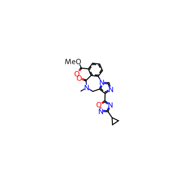 COC(=O)c1cccc2c1C(=O)N(C)Cc1c(-c3nc(C4CC4)no3)ncn1-2